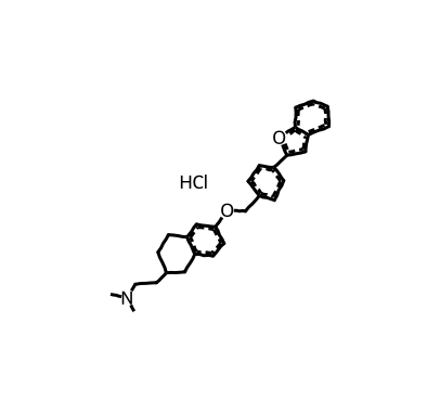 CN(C)CCC1CCc2cc(OCc3ccc(-c4cc5ccccc5o4)cc3)ccc2C1.Cl